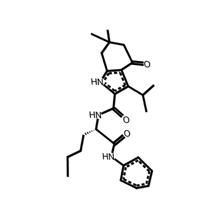 CCCC[C@H](NC(=O)c1[nH]c2c(c1C(C)C)C(=O)CC(C)(C)C2)C(=O)Nc1ccccc1